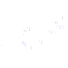 C[C@@H](N)CC(=N)Cc1cncc(-c2c(C#N)c3ccc(Cl)cc3n2C)c1